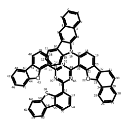 c1ccc2cc3c(cc2c1)c1ccccc1n3-c1ccc2c(oc3c4ccccc4ccc23)c1-c1nc(-c2cccc3c2oc2ccccc23)nc(-c2cccc3c2sc2ccccc23)n1